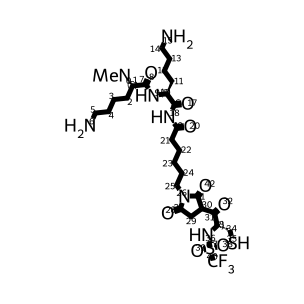 CN[C@@H](CCCCN)C(=O)N[C@@H](CCCCN)C(=O)NC(=O)CCCCCN1C(=O)CC(C(=O)[C@H](CS)NS(=O)(=O)C(F)(F)F)C1=O